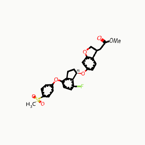 COC(=O)CC1COc2cc(O[C@@H]3CCc4c(Oc5ccc(S(C)(=O)=O)cc5)ccc(F)c43)ccc21